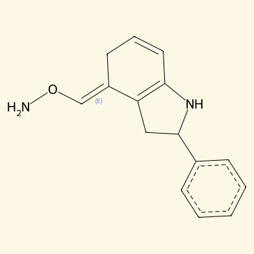 NO/C=C1\CC=CC2=C1CC(c1ccccc1)N2